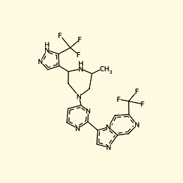 CC1CN(c2ccnc(-c3cnc4cnc(C(F)(F)F)cn34)n2)CC(c2cn[nH]c2C(F)(F)F)N1